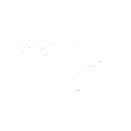 O=C(N[C@@H](C(=O)N1CCC(OC2CCN(CC(=O)N3CCN(C(=O)c4cc(Cc5n[nH]c(=O)c6ccccc56)ccc4F)CC3)CC2)CC1)C1CCCCC1)c1cccc([C@H]2CCCN(C(=O)C3CC3)C2)c1F